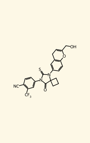 N#Cc1ccc(N2C(=O)C3(CCC3)N(c3ccc4c(c3)CC=C(CO)O4)C2=S)cc1C(F)(F)F